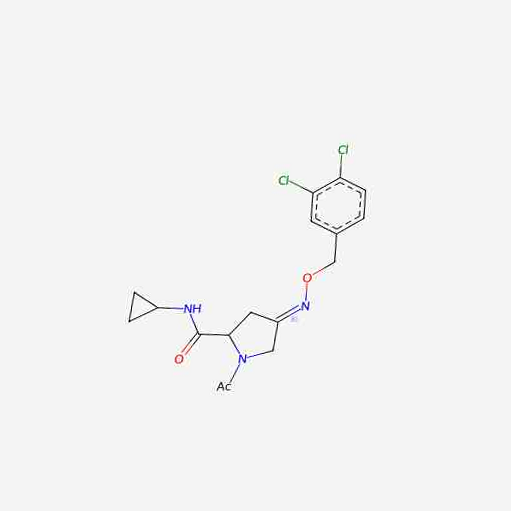 CC(=O)N1C/C(=N/OCc2ccc(Cl)c(Cl)c2)CC1C(=O)NC1CC1